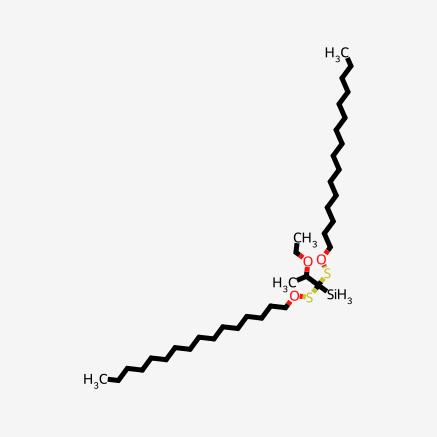 CCCCCCCCCCCCCCCCOSC([SiH3])(SOCCCCCCCCCCCCCCCC)C(C)OCC